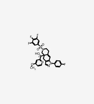 COc1ccnc([C@@H](O)C23Cc4cnn(-c5ccc(F)cc5)c4C=C2CCN(S(=O)(=O)c2cc(F)c(F)c(F)c2)C3)c1